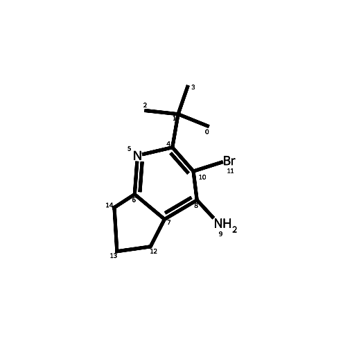 CC(C)(C)c1nc2c(c(N)c1Br)CCC2